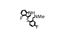 CNCc1cc(F)ccc1Sc1c[nH]c2cccc(F)c12